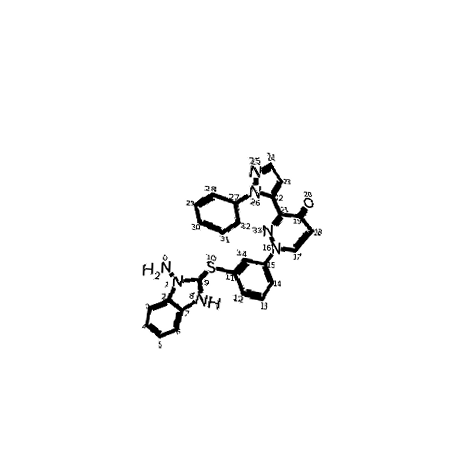 NN1c2ccccc2NC1Sc1cccc(-n2ccc(=O)c(-c3ccnn3C3C=CC=CC3)n2)c1